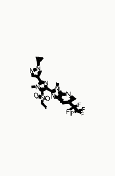 CCS(=O)(=O)c1c(-c2nc3cc(C(F)(F)C(F)(F)F)cnc3n2C)nc(-c2cnn(C3CC3)c2)n1C